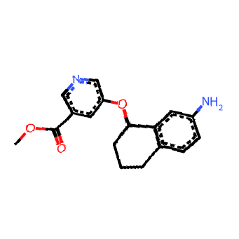 COC(=O)c1cncc(OC2CCCc3ccc(N)cc32)c1